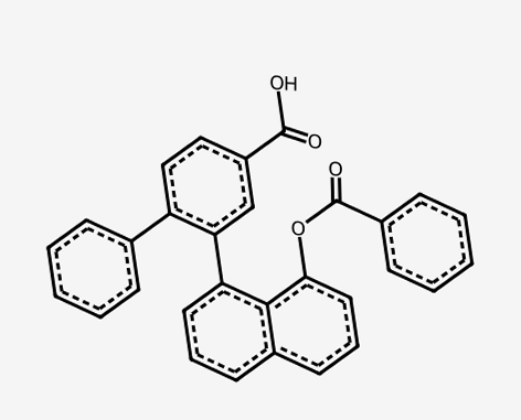 O=C(O)c1ccc(-c2ccccc2)c(-c2cccc3cccc(OC(=O)c4ccccc4)c23)c1